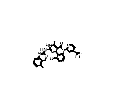 CC1=C(C(=O)Nc2cc(C(=O)O)ccn2)C(c2ccccc2Cl)N=C(NC2=Nc3cccc(C)c3CO2)N1